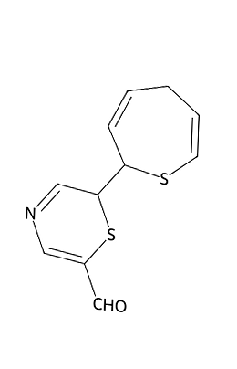 O=CC1=CN=CC(C2C=CCC=CS2)S1